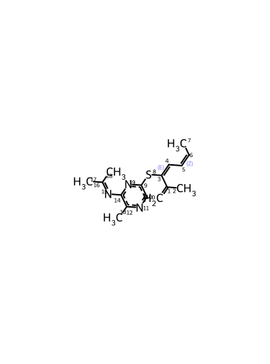 C=C(C)/C(=C\C=C/C)Sc1cnc(C)c(N=C(C)C)n1